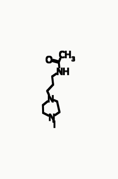 CC(=O)NCCCN1CCN(I)CC1